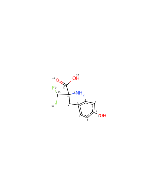 NC(Cc1ccc(O)cc1)(C(=O)O)C(F)F